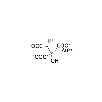 O=C([O-])CC(O)(CC(=O)[O-])C(=O)[O-].[Au+3].[K+]